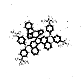 C[Si](C)(C)c1ccc(N(c2ccc([Si](C)(C)C)cc2)c2cc3c(c4ccccc24)-c2c(cc(N(c4ccc([Si](C)(C)C)cc4)c4ccc([Si](C)(C)C)cc4)c4ccccc24)C32c3ccccc3-n3c4ccccc4c4cccc2c43)cc1